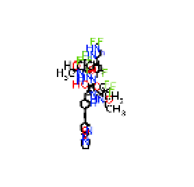 CCC(=O)N[C@H](C(=O)N[C@@H](Cc1ccc(C#Cc2ccc(N3CC4CCC(C3)N4C3COC3)nc2)cc1)[C@@H](O)CN(Cc1c(F)cc(C(=N)/C=C\NC(F)F)cc1F)NC(=O)[C@@H](NC(C)=O)C(C)(C)C(F)(F)F)C(C)(C)C(F)(F)F